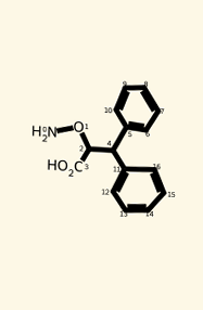 NOC(C(=O)O)C(c1ccccc1)c1ccccc1